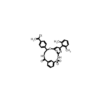 C=C(CC)c1ccc(C2CNC(=O)c3cccc(c3)S(=O)(=O)Nc3nc(cc(-c4c(C)cccc4C)n3)O2)cc1